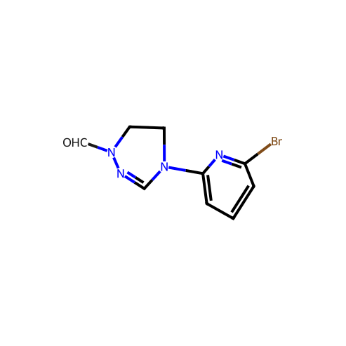 O=CN1CCN(c2cccc(Br)n2)C=N1